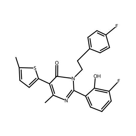 Cc1ccc(-c2c(C)nc(-c3cccc(F)c3O)n(CCc3ccc(F)cc3)c2=O)s1